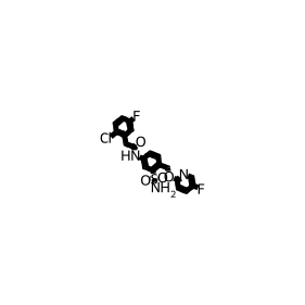 NS(=O)(=O)c1cc(NC(=O)Cc2cc(F)ccc2Cl)ccc1COc1ccc(F)cn1